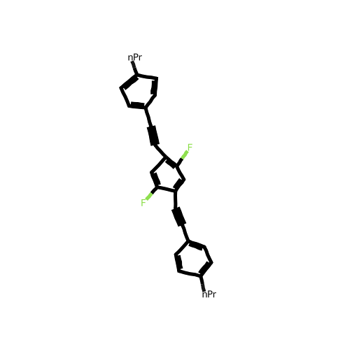 CCCc1ccc(C#Cc2cc(F)c(C#Cc3ccc(CCC)cc3)cc2F)cc1